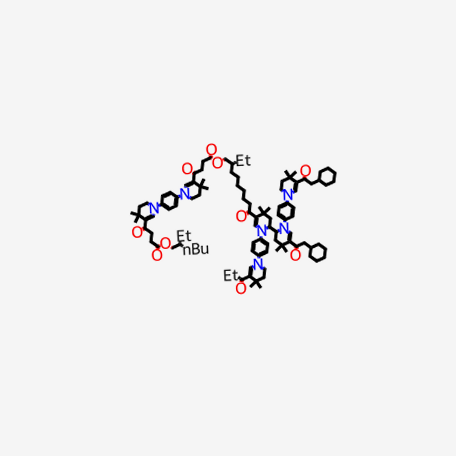 CCCCC(CC)COC(=O)CCC(=O)C1=CN(c2ccc(N3C=C(C(=O)CCC(=O)OCC(CC)CCCCCCC(=O)C4=CN(c5ccc(N6C=C(C(=O)CC)C(C)(C)CC6)cc5)C(C5CC(C)(C)C(C(=O)CC6CCCCC6)=CN5c5ccc(N6C=C(C(=O)CC7CCCCC7)C(C)(C)CC6)cc5)CC4(C)C)C(C)(C)CC3)cc2)CCC1(C)C